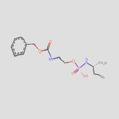 CC(C)C[C@H](N[P@](=O)(O)OCCNC(=O)OCc1ccccc1)C(=O)O